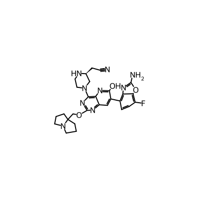 N#CC[C@H]1CN(c2nc(OCC34CCCN3CCC4)nc3cc(-c4ccc(F)c5oc(N)nc45)c(O)nc23)CCN1